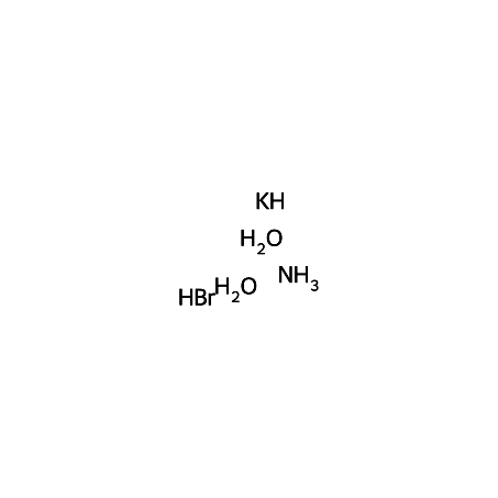 Br.N.O.O.[KH]